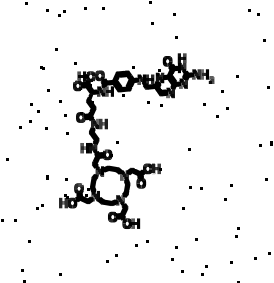 Nc1nc2ncc(CNc3ccc(C(=O)N[C@@H](CCC(=O)NCCNC(=O)CN4CCN(CC(=O)O)CCN(CC(=O)O)CCN(CC(=O)O)CC4)C(=O)O)cc3)nc2c(=O)[nH]1